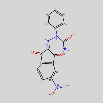 NC(=O)N(/N=c1/c(=O)c2ccc([N+](=O)[O-])cc2c1=O)c1ccccc1